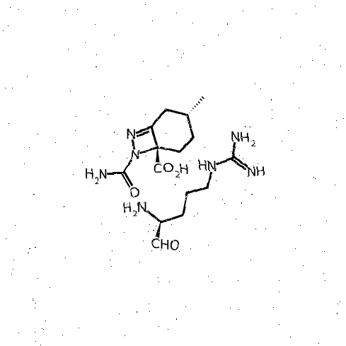 C[C@@H]1CC[C@@]2(C(=O)O)C(=NN2C(N)=O)C1.N=C(N)NCCC[C@H](N)C=O